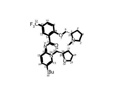 CN1CCC[C@H]1COc1ccc(C(F)(F)F)cc1C(=O)N=c1ccc(C(C)(C)C)cn1C[C@H]1CCCO1